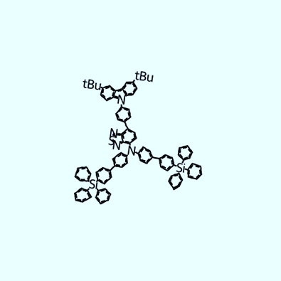 CC(C)(C)c1ccc2c(c1)c1cc(C(C)(C)C)ccc1n2-c1ccc(-c2ccc(N(c3ccc(-c4ccc([Si](c5ccccc5)(c5ccccc5)c5ccccc5)cc4)cc3)c3ccc(-c4ccc([Si](c5ccccc5)(c5ccccc5)c5ccccc5)cc4)cc3)c3nsnc23)cc1